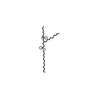 CCCCCCCCCCCCOC(=O)CCC(CCCCCCCC)CC(O)CCCCCCC